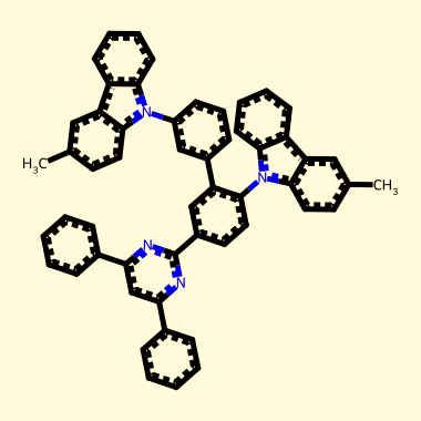 Cc1ccc2c(c1)c1ccccc1n2-c1cccc(-c2cc(-c3nc(-c4ccccc4)cc(-c4ccccc4)n3)ccc2-n2c3ccccc3c3cc(C)ccc32)c1